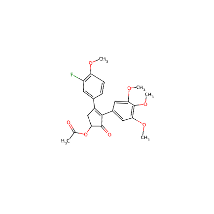 COc1ccc(C2=C(c3cc(OC)c(OC)c(OC)c3)C(=O)C(OC(C)=O)C2)cc1F